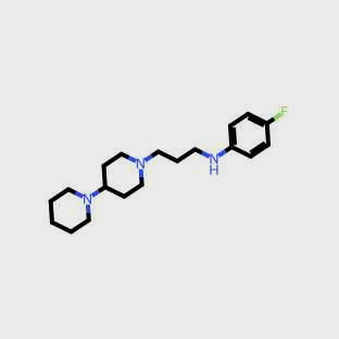 Fc1ccc(NCCCN2CCC(N3CCCCC3)CC2)cc1